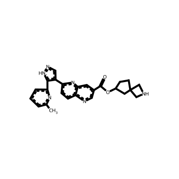 Cc1cccc(-c2[nH]ncc2-c2ccc3ncc(C(=O)OC4CCC5(CNC5)C4)cc3n2)n1